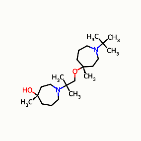 CC(C)(C)N1CCC[C@@](C)(OCC(C)(C)N2CCC[C@](C)(O)CC2)CC1